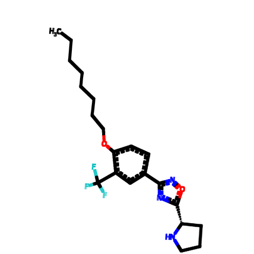 CCCCCCCCOc1ccc(-c2noc([C@@H]3CCCN3)n2)cc1C(F)(F)F